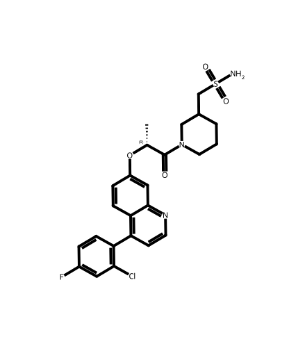 C[C@@H](Oc1ccc2c(-c3ccc(F)cc3Cl)ccnc2c1)C(=O)N1CCCC(CS(N)(=O)=O)C1